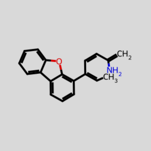 C=C(N)/C=C\C(=C/C)c1cccc2c1oc1ccccc12